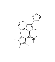 CC1=C(C)[CH]([Zr]([CH]2C(C)=C(c3ccsc3)c3ccccc32)=[Si](C)C)C(C)=C1C